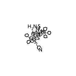 Nc1nc(/C(=N/OC(c2ccccc2)(c2ccccc2)c2ccccc2)C(=O)N[C@@H]2C(=O)N3C(C(=O)OC(c4ccccc4)c4ccccc4)=C(SCCc4ccncc4)CS[C@H]23)cs1